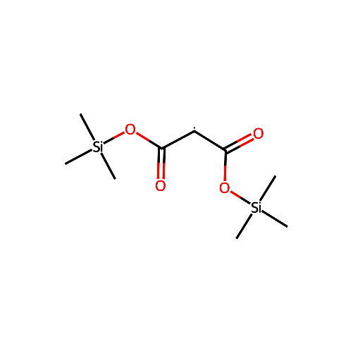 C[Si](C)(C)OC(=O)[CH]C(=O)O[Si](C)(C)C